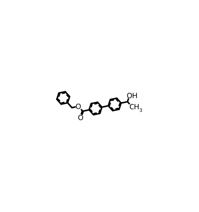 CC(O)c1ccc(-c2ccc(C(=O)OCc3ccccc3)cc2)cc1